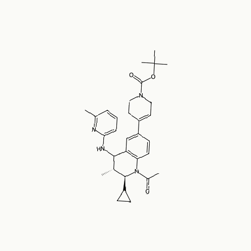 CC(=O)N1c2ccc(C3=CCN(C(=O)OC(C)(C)C)CC3)cc2C(Nc2cccc(C)n2)[C@@H](C)[C@@H]1C1CC1